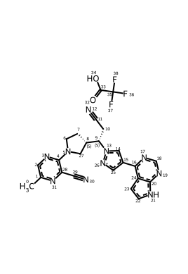 Cc1cnc(N2CC[C@H]([C@H](CC#N)n3cc(-c4ncnc5[nH]ccc45)cn3)C2)c(C#N)n1.O=C(O)C(F)(F)F